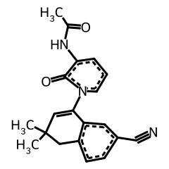 CC(=O)Nc1cccn(C2=CC(C)(C)Cc3ccc(C#N)cc32)c1=O